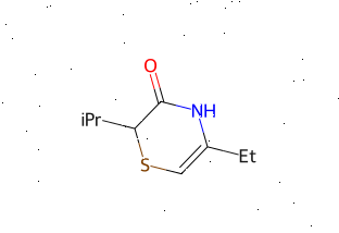 CCC1=CSC(C(C)C)C(=O)N1